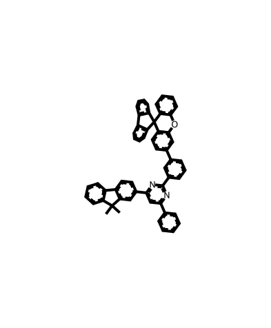 CC1(C)c2ccccc2-c2ccc(-c3cc(-c4ccccc4)nc(-c4cccc(-c5ccc6c(c5)Oc5ccccc5C65c6ccccc6-c6ccccc65)c4)n3)cc21